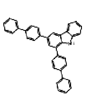 c1ccc(-c2ccc(-c3cc(-c4ccc(-c5ccccc5)cc4)c4[nH]c5ccccc5c4c3)cc2)cc1